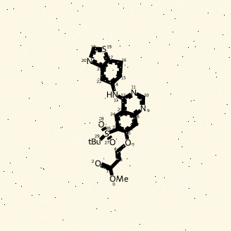 COC(=O)C=COc1cc2ncnc(Nc3ccc4scnc4c3)c2cc1S(=O)(=O)C(C)(C)C